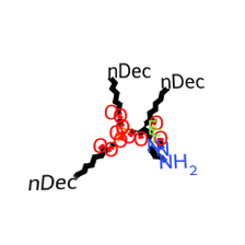 CCCCCCCCCCCCCCCCC(=O)C[C@@H]1[C@@H](COP(=O)(OCOC(=O)CCCCCCCCCCCCCCCC)OCOC(=O)CCCCCCCCCCCCCCCC)O[C@@H](n2ccc(N)nc2=O)C1(F)F